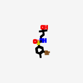 Cc1ccc([S+]([O-])NCCC(C)(C)O)cc1Br